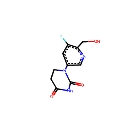 O=C1CCN(c2cnc(CO)c(F)c2)C(=O)N1